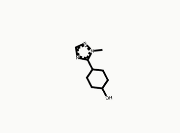 Cn1ncnc1C1CCC(O)CC1